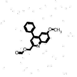 COc1ccc2nc(COC=O)cc(-c3ccccc3)c2c1